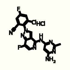 Cc1nc(N)cc(Nc2ncc(F)c3nn(-c4c(Cl)cc(F)cc4C#N)cc23)n1.Cl